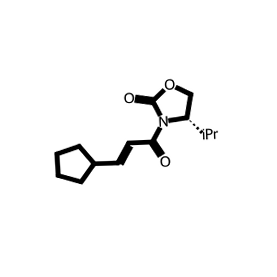 CC(C)[C@H]1COC(=O)N1C(=O)/C=C/C1CCCC1